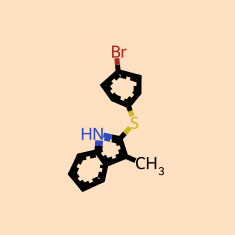 Cc1c(Sc2ccc(Br)cc2)[nH]c2ccccc12